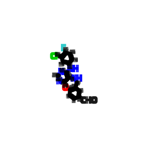 O=Cc1ccc2c(c1)CNc1c(Nc3ccc(F)c(Cl)c3)ncnc1O2